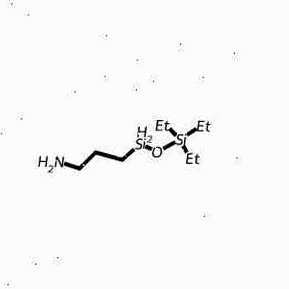 CC[Si](CC)(CC)O[SiH2]CCCN